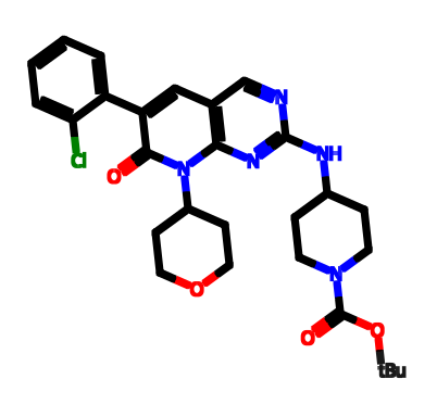 CC(C)(C)OC(=O)N1CCC(Nc2ncc3cc(-c4ccccc4Cl)c(=O)n(C4CCOCC4)c3n2)CC1